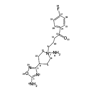 Nc1nc(C2CC[N+](N)(CCCC(=O)c3ccc(F)cc3)CC2)no1